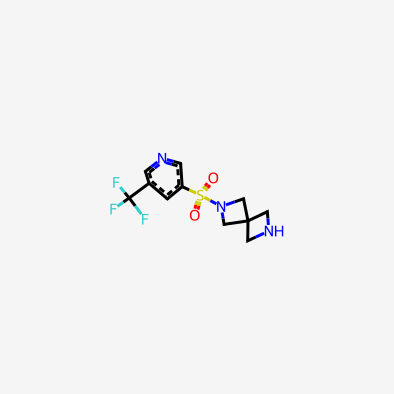 O=S(=O)(c1cncc(C(F)(F)F)c1)N1CC2(CNC2)C1